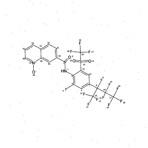 O=C(Nc1c(I)cc(C(F)(C(F)(F)F)C(F)(F)C(F)(F)F)cc1S(=O)(=O)C(F)(F)F)c1ccc2ccc[n+]([O-])c2c1